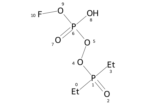 CCP(=O)(CC)OOP(=O)(O)OF